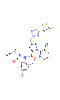 Cc1cc(Cl)cc(C(=O)NC(C)C2CC2)c1NC(=O)c1cc(Cn2ncc(C(F)(F)C(F)(F)F)n2)nn1-c1ncccc1Cl